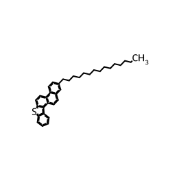 CCCCCCCCCCCCCCCc1ccc2c(ccc3c2ccc2sc4ccccc4c23)c1